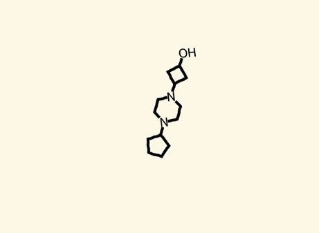 OC1CC(N2CCN(C3CCCC3)CC2)C1